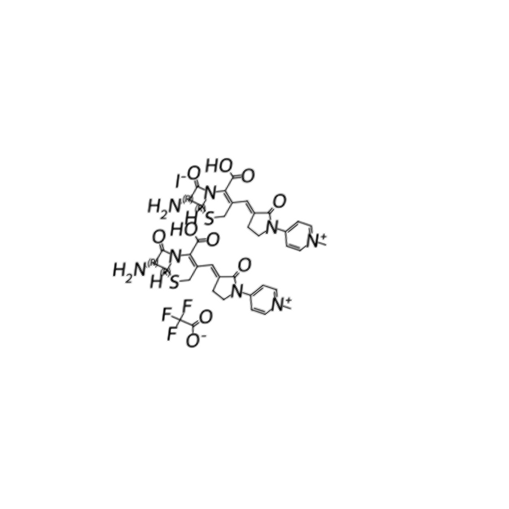 C[n+]1ccc(N2CCC(=CC3=C(C(=O)O)N4C(=O)[C@@H](N)[C@H]4SC3)C2=O)cc1.C[n+]1ccc(N2CCC(=CC3=C(C(=O)O)N4C(=O)[C@@H](N)[C@H]4SC3)C2=O)cc1.O=C([O-])C(F)(F)F.[I-]